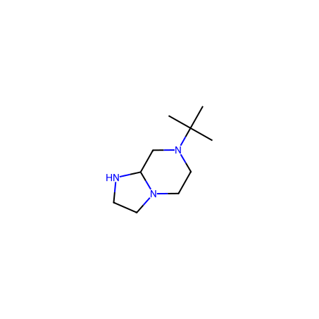 CC(C)(C)N1CCN2CCNC2C1